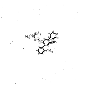 Cc1ccccc1-c1cc2[nH]c3ccccc3c2cc1OCCN(C)C